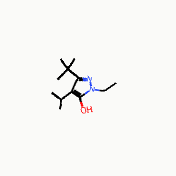 CCn1nc(C(C)(C)C)c(C(C)C)c1O